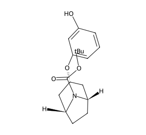 CC(C)(C)OC(=O)N1[C@@H]2CC[C@H]1C[C@@H](Oc1cccc(O)c1)C2